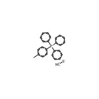 Cc1ccc([P+](c2ccccc2)(c2ccccc2)c2ccccc2)cc1.N#C[S-]